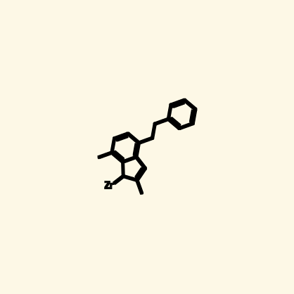 CC1=Cc2c(CCc3ccccc3)ccc(C)c2[CH]1[Zr]